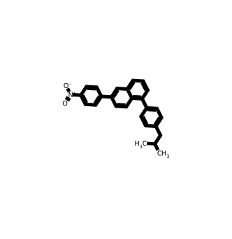 CC(C)Cc1ccc(-c2cccc3cc(-c4ccc([N+](=O)[O-])cc4)ccc23)cc1